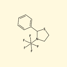 FS(F)(F)(F)(F)N1CCSC1c1ccccc1